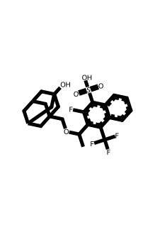 CC(OCC12CC3CC(CC(O)(C3)C1)C2)c1c(F)c(S(=O)(=O)O)c2ccccc2c1C(F)(F)F